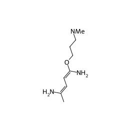 CNCCCO/C(N)=C/C=C(/C)N